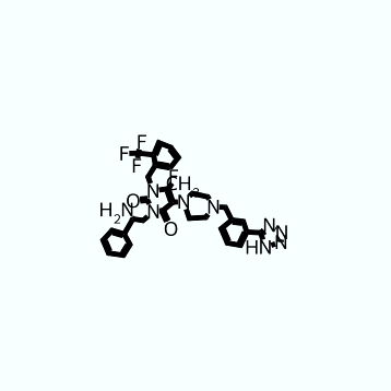 Cc1c(N2CCN(Cc3cccc(-c4nnn[nH]4)c3)CC2)c(=O)n(CC(N)c2ccccc2)c(=O)n1Cc1c(F)cccc1C(F)(F)F